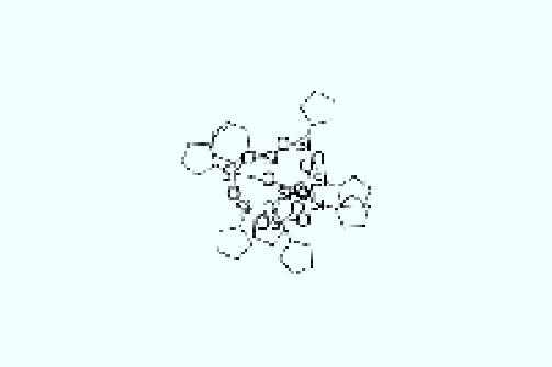 C1=CCC([Si]23O[Si]4(C5CCCC5)O[Si]5(C6CCCC6)O[Si](C6CCCC6)(O2)O[Si]2(C6CCCC6)O[Si](C6CCCC6)(O3)O[Si](C3CCCC3)(O4)O[Si](C3CCCC3)(O5)O2)CC1